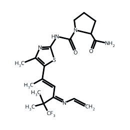 C=C/N=C(\C=C(/C)c1sc(NC(=O)N2CCCC2C(N)=O)nc1C)C(C)(C)C(F)(F)F